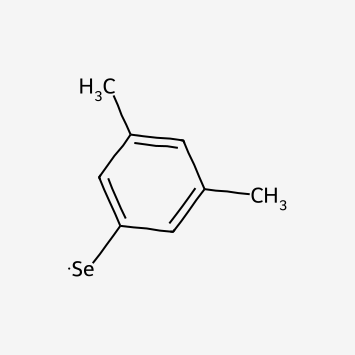 Cc1cc(C)cc([Se])c1